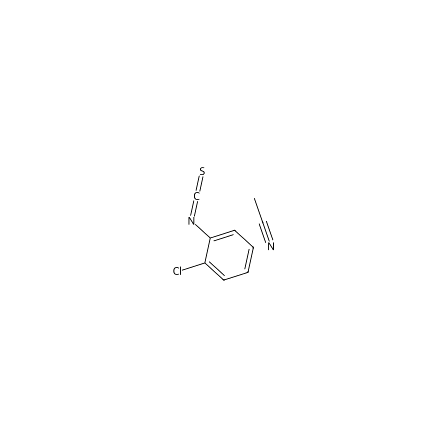 CC#N.S=C=Nc1ccccc1Cl